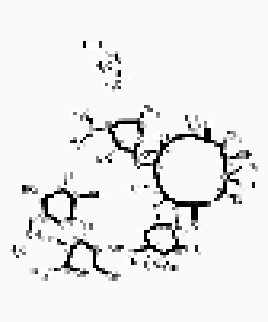 CC[C@H]1OC(=O)[C@H](C)[C@@H](O[C@H]2C[C@@](C)(OC)[C@@H](O)[C@H](C)O2)[C@H](C)[C@@H](O[C@@H]2O[C@H](C)C[C@H](N(C)C)[C@H]2O)[C@](C)(O)C[C@@H](C)C(=O)[C@H](C)[C@@H](O)[C@]1(C)O.O.O.O.O.O.O.O=C(O)[C@H](O)[C@@H](O)[C@H](O[C@@H]1O[C@H](CO)[C@H](O)[C@H](O)[C@H]1O)[C@H](O)CO